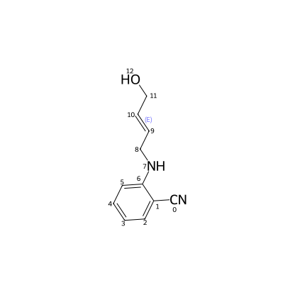 N#Cc1ccccc1NC/C=C/CO